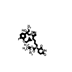 CCC(O)(Cn1nncc1CCCCN(C(=O)OC(C)(C)C)C1CCC(=O)NC1=O)c1ccc(F)c(OCC2CC2)c1